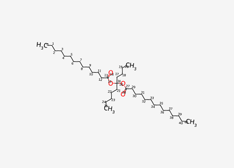 CCCCCCCCCCCCCC(=O)OC(CCCC)(CCCCC)OC(=O)CCCCCCCCCCCCC